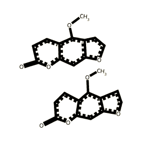 COc1c2ccoc2cc2oc(=O)ccc12.COc1c2ccoc2cc2oc(=O)ccc12